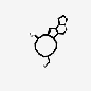 CCC1CCCCC(C)CC2=CC3C4CCCC4CCC3C2CCC1